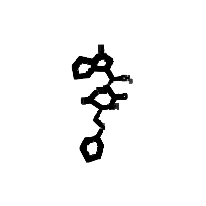 CC(c1c[nH]c2ccccc12)[C@H]1NC(=O)[C@H](CSc2ccccc2)NC1=O